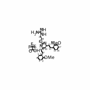 COc1ccccc1C=Cc1cc(C=Cc2ccccc2OC)nc(OCCNC(=N)N)n1.O=C(O)C(F)(F)F